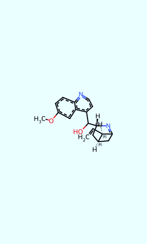 C=C[C@H]1C2=N[C@@H](C(O)c3ccnc4ccc(OC)cc34)C[C@@H]1C2